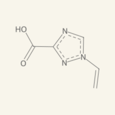 C=Cn1cnc(C(=O)O)n1